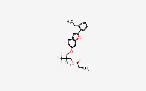 C=CC(=O)OCC(C)(COc1ccc2cc(-c3ccccc3CC)oc2c1)C(F)(F)F